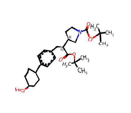 CC(C)(C)OC(=O)[C@@H](Cc1ccc(C2CCC(O)CC2)cc1)[C@H]1CCN(C(=O)OC(C)(C)C)C1